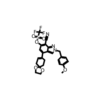 COc1ccc(Cn2cc3c(C4=CCC5(CC4)OCCO5)cc(OS(=O)(=O)C(F)(F)F)c(C#N)c3n2)cc1